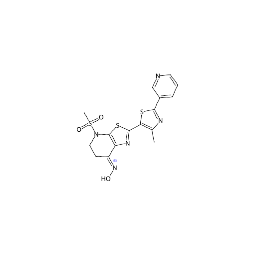 Cc1nc(-c2cccnc2)sc1-c1nc2c(s1)N(S(C)(=O)=O)CC/C2=N\O